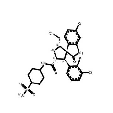 CC(C)(C)C[C@H]1N[C@@H](C(=O)NC2CCC(S(C)(=O)=O)CC2)[C@H](c2cccc(Cl)c2F)[C@@]12C(=O)Nc1cc(Cl)ccc12